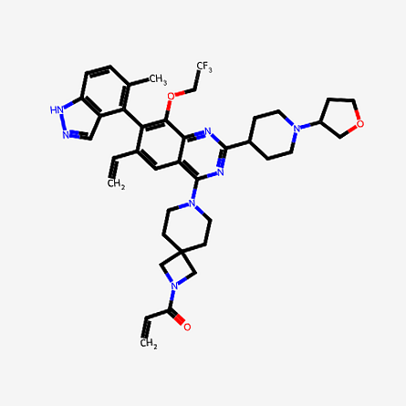 C=CC(=O)N1CC2(CCN(c3nc(C4CCN(C5CCOC5)CC4)nc4c(OCC(F)(F)F)c(-c5c(C)ccc6[nH]ncc56)c(C=C)cc34)CC2)C1